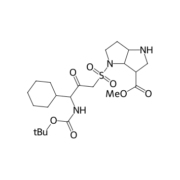 COC(=O)C1CNC2CCN(S(=O)(=O)CC(=O)C(NC(=O)OC(C)(C)C)C3CCCCC3)C21